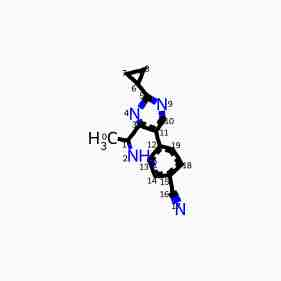 CC(N)c1nc(C2CC2)ncc1-c1ccc(C#N)cc1